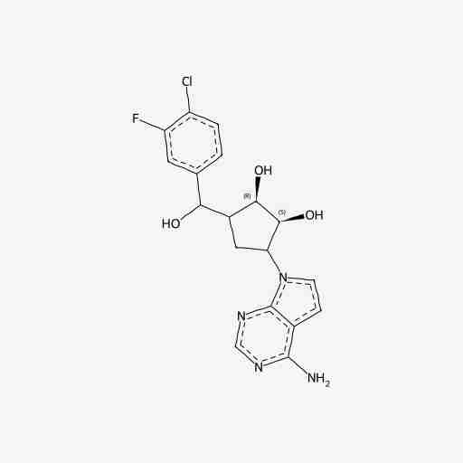 Nc1ncnc2c1ccn2C1CC(C(O)c2ccc(Cl)c(F)c2)[C@@H](O)[C@H]1O